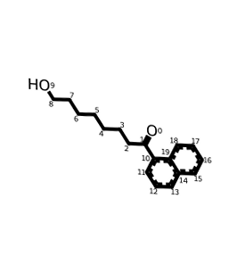 O=C(CCCCCCCO)c1cccc2ccccc12